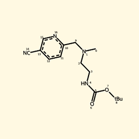 CN(CCNC(=O)OC(C)(C)C)Cc1ccc(C#N)cn1